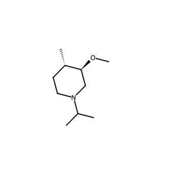 CO[C@H]1CN(C(C)C)CC[C@@H]1C